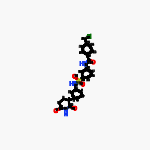 O=C1CCC(c2cccc(NS(=O)(=O)c3cccc(NC(=O)c4ccc(CCl)cc4)c3)c2)C(=O)N1